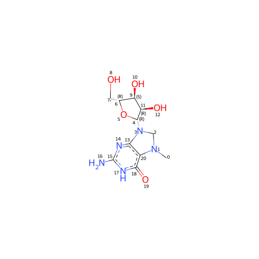 CN1CN([C@@H]2O[C@H]([CH]O)[C@@H](O)[C@H]2O)c2nc(N)[nH]c(=O)c21